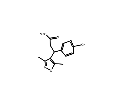 COC(=O)CC(c1ccc(O)cc1)c1c(C)noc1C